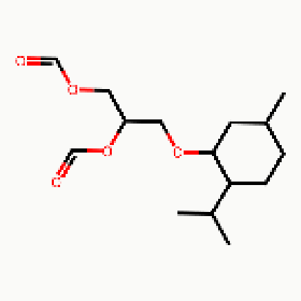 CC1CCC(C(C)C)C(OCC(COC=O)OC=O)C1